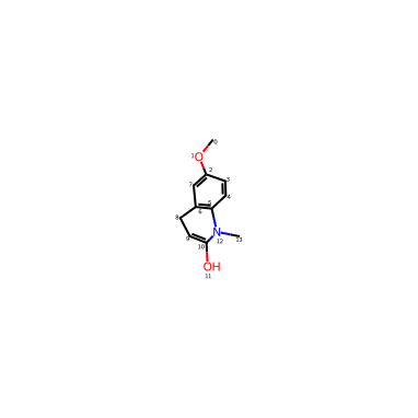 COc1ccc2c(c1)CC=C(O)N2C